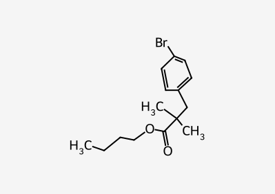 CCCCOC(=O)C(C)(C)Cc1ccc(Br)cc1